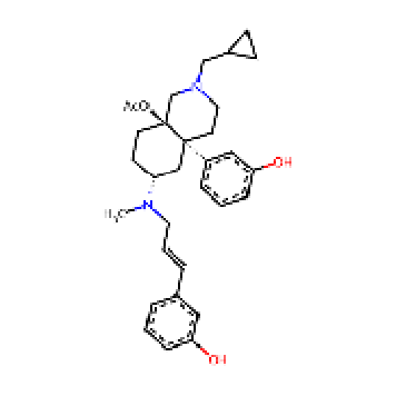 CC(=O)O[C@]12CC[C@@H](N(C)CC=Cc3cccc(O)c3)C[C@]1(c1cccc(O)c1)CCN(CC1CC1)C2